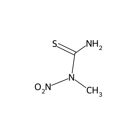 CN(C(N)=S)[N+](=O)[O-]